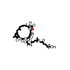 C/C1=C\C=C\[C@@H](C)[C@@]2(O)C[C@H](OC(=O)N2)[C@@H](C)[C@@H]2O[C@]2(C)[C@@H](OC(=O)[C@H](C)N(C)C(=O)CCC(C)(C)SCC(=O)CCC[Si](C)(C)O)CC(=O)N(C)c2cc(cc(C)c2Cl)C1